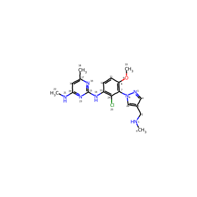 CNCc1cnn(-c2c(OC)ccc(Nc3nc(C)cc(NC)n3)c2Cl)c1